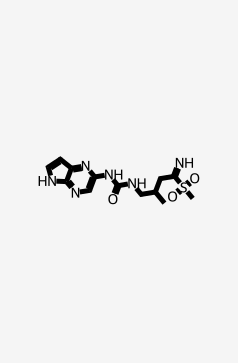 CC(CNC(=O)Nc1cnc2[nH]ccc2n1)CC(=N)S(C)(=O)=O